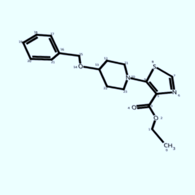 CCOC(=O)c1ncsc1N1CCC(OCc2ccccc2)CC1